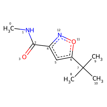 CNC(=O)c1cc(C(C)(C)C)on1